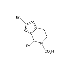 CC(C)C1c2sc(Br)cc2CCN1C(=O)O